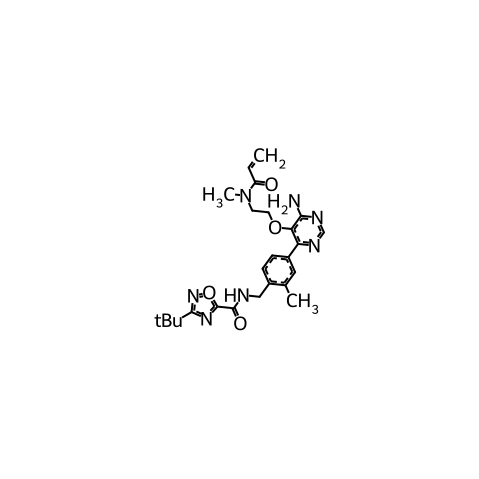 C=CC(=O)N(C)CCOc1c(N)ncnc1-c1ccc(CNC(=O)c2nc(C(C)(C)C)no2)c(C)c1